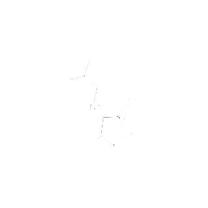 CC(C)CNC1CCSC1=O